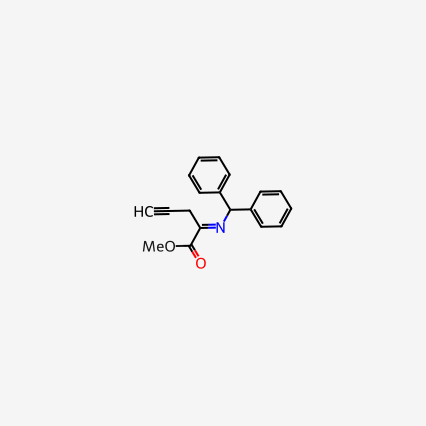 C#CCC(=NC(c1ccccc1)c1ccccc1)C(=O)OC